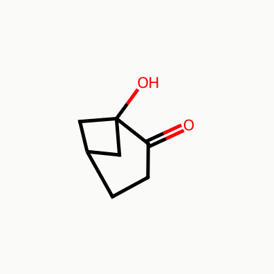 O=C1CCC2CC1(O)C2